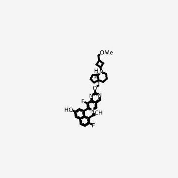 C#Cc1c(F)ccc2cc(O)cc(-c3ncc4cnc(OC[C@]56CCC[C@H]5N(C5CC(COC)C5)CCC6)nc4c3F)c12